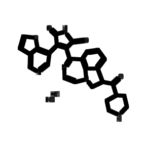 Cl.Cl.O=C1NC(=O)C(c2cncc3ccoc23)=C1C1=NC=CN2CC(C(=O)C3CCNCC3)c3cccc1c32